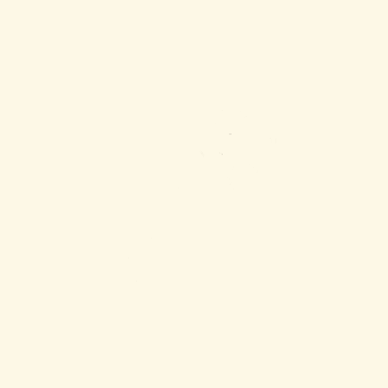 C=C(O)COCC1CCC(CCC(=O)N(c2ccccc2)c2ccccc2CC)CC1